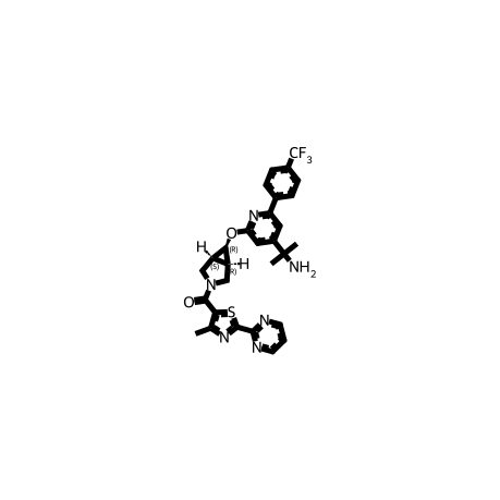 Cc1nc(-c2ncccn2)sc1C(=O)N1C[C@@H]2[C@H](C1)[C@@H]2Oc1cc(C(C)(C)N)cc(-c2ccc(C(F)(F)F)cc2)n1